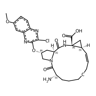 COc1ccc2nc(Cl)c(O[C@@H]3C[C@H]4C(=O)N[C@]5(C(=O)O)C[C@H]5C=CCCCCC[C@H](N)C(=O)N4C3)nc2c1